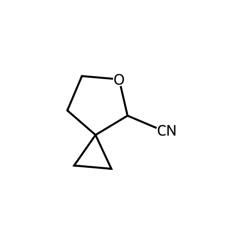 N#CC1OCCC12CC2